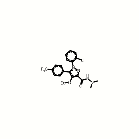 CCOc1c(C(=O)NN(C)C)nn(-c2ccccc2Cl)c1-c1ccc(C(F)(F)F)cc1